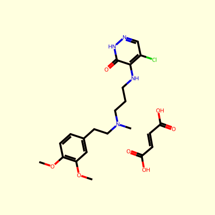 COc1ccc(CCN(C)CCCNc2c(Cl)cn[nH]c2=O)cc1OC.O=C(O)C=CC(=O)O